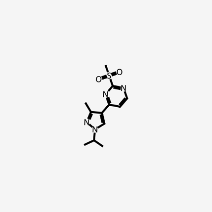 Cc1nn(C(C)C)cc1-c1ccnc(S(C)(=O)=O)n1